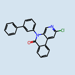 O=c1c2ccccc2c2cc(Cl)ncc2n1-c1cccc(-c2ccccc2)c1